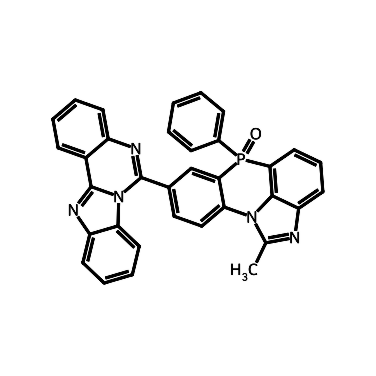 Cc1nc2cccc3c2n1-c1ccc(-c2nc4ccccc4c4nc5ccccc5n24)cc1P3(=O)c1ccccc1